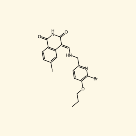 CCCOc1ccc(CN/C=C2/C(=O)NC(=O)c3ccc(I)cc32)nc1Br